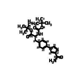 CC(C)(C)OC(=O)N[C@@H](Cc1ccc(-n2cnc(C(N)=O)c2)cc1)C(=O)OC(C)(C)C